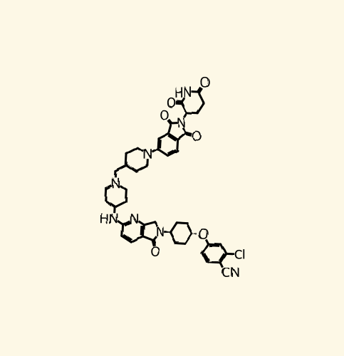 N#Cc1ccc(O[C@H]2CC[C@H](N3Cc4nc(NC5CCN(CC6CCN(c7ccc8c(c7)C(=O)N(C7CCC(=O)NC7=O)C8=O)CC6)CC5)ccc4C3=O)CC2)cc1Cl